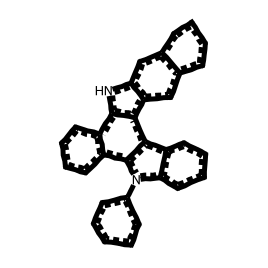 c1ccc(-n2c3ccccc3c3c4c5cc6ccccc6cc5[nH]c4c4ccccc4c32)cc1